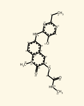 CCc1ncc(Cl)c(Nc2ccc3c(c2)cc(OCC(=O)NC)c(=O)n3C)n1